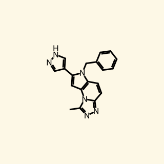 Cc1nnc2ccc3c(cc(-c4cn[nH]c4)n3Cc3ccccc3)n12